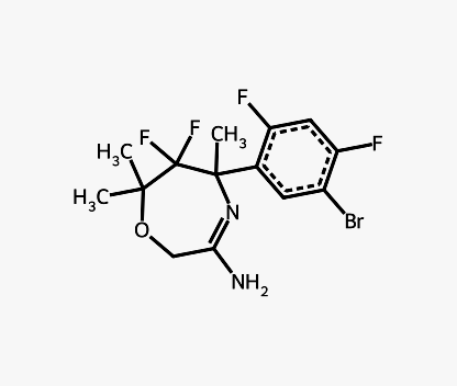 CC1(C)OCC(N)=NC(C)(c2cc(Br)c(F)cc2F)C1(F)F